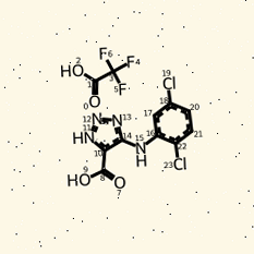 O=C(O)C(F)(F)F.O=C(O)c1[nH]nnc1Nc1cc(Cl)ccc1Cl